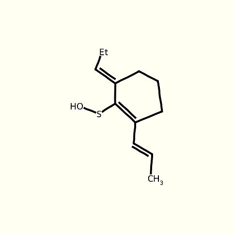 C/C=C/C1=C(SO)C(=C/CC)/CCC1